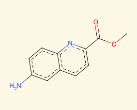 COC(=O)c1ccc2cc(N)ccc2n1